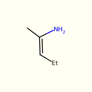 CC/C=C(/C)N